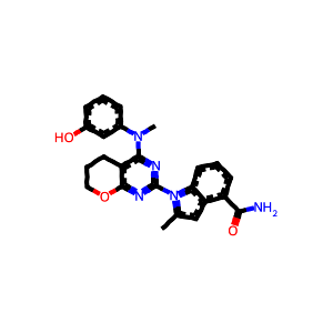 Cc1cc2c(C(N)=O)cccc2n1-c1nc2c(c(N(C)c3cccc(O)c3)n1)CCCO2